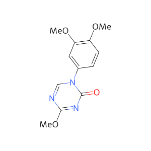 COc1ncn(-c2ccc(OC)c(OC)c2)c(=O)n1